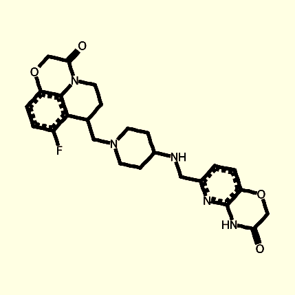 O=C1COc2ccc(CNC3CCN(CC4CCN5C(=O)COc6ccc(F)c4c65)CC3)nc2N1